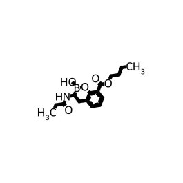 CCCCOC(=O)c1cccc2c1OB(O)C(NC(=O)CC)C2